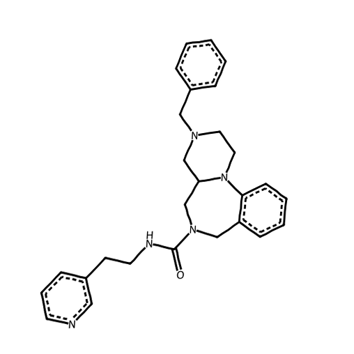 O=C(NCCc1cccnc1)N1Cc2ccccc2N2CCN(Cc3ccccc3)CC2C1